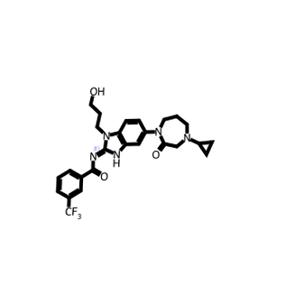 O=C(/N=c1\[nH]c2cc(N3CCCN(C4CC4)CC3=O)ccc2n1CCCO)c1cccc(C(F)(F)F)c1